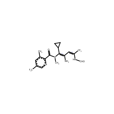 Cc1cc(C(F)(F)F)cnc1C(=O)N(C)/C(=C(N)/C=C(\NC=O)C(F)(F)F)C1CC1